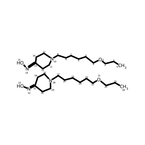 CCCOCCCCCCN1CCC(=NO)CC1.CCCOCCCCCCN1CCC(=NO)CC1